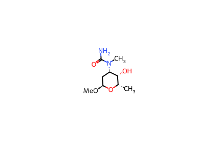 CO[C@H]1C[C@H](N(C)C(N)=O)[C@H](O)[C@H](C)O1